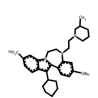 CC(C)COc1ccc2c(c1)N(CCN1CCCC(C)C1)CCn1c-2c(C2CCCCC2)c2ccc(C(=O)O)cc21